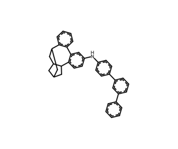 c1ccc(-c2cccc(-c3ccc(Nc4ccc5c(c4)-c4ccccc4C4CC6CC(C4)C5C6)cc3)c2)cc1